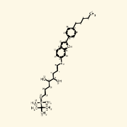 CCCCCc1ccc(-c2cc3ccc(SCCCC(O)C(O)CCCO[Si](C)(C)C(C)(C)C)cc3o2)cc1